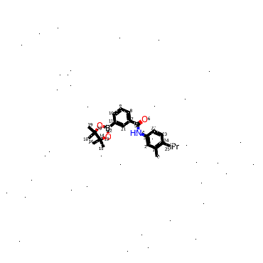 Cc1cc(NC(=O)c2cccc(B3OC(C)(C)C(C)(C)O3)c2)ccc1C(C)C